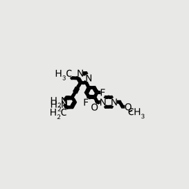 C=C(N)/C=C\C(C#Cc1c(CC)ncnc1-c1cc(F)c(C(=O)N2CCN(CCOC)CC2)c(F)c1)=C/N